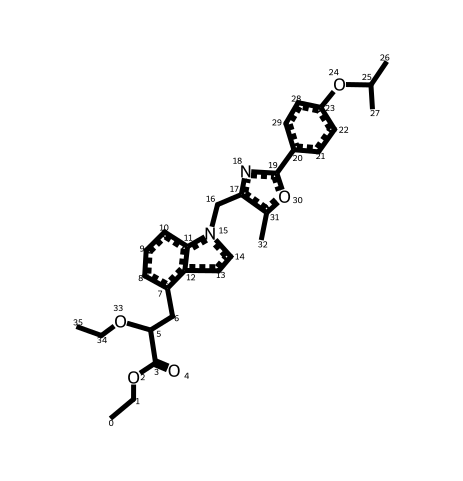 CCOC(=O)C(Cc1cccc2c1ccn2Cc1nc(-c2ccc(OC(C)C)cc2)oc1C)OCC